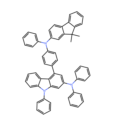 CC1(C)c2ccccc2-c2ccc(N(c3ccccc3)c3ccc(-c4cc(N(c5ccccc5)c5ccccc5)cc5c4c4ccccc4n5-c4ccccc4)cc3)cc21